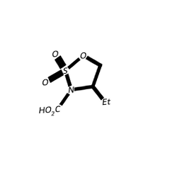 CCC1COS(=O)(=O)N1C(=O)O